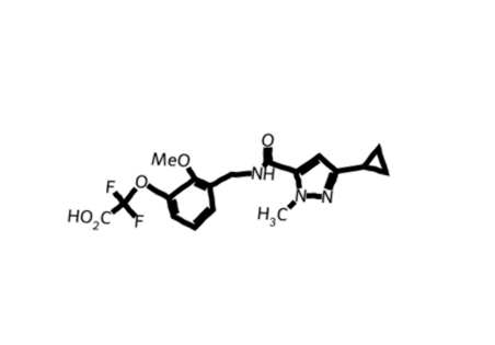 COc1c(CNC(=O)c2cc(C3CC3)nn2C)cccc1OC(F)(F)C(=O)O